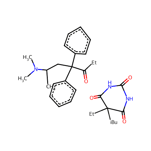 CCC(=O)C(CC(C)N(C)C)(c1ccccc1)c1ccccc1.CCC(C)C1(CC)C(=O)NC(=O)NC1=O